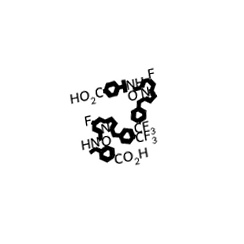 CC(C)(NC(=O)c1cc(F)cc2ccc(Cc3ccc(C(F)(F)F)cc3)n12)c1ccc(C(=O)O)cc1.CC(NC(=O)c1cc(F)cc2ccc(Cc3ccc(C(F)(F)F)cc3)n12)c1ccc(C(=O)O)cc1